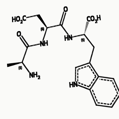 C[C@H](N)C(=O)N[C@@H](CC(=O)O)C(=O)N[C@@H](Cc1c[nH]c2ccccc12)C(=O)O